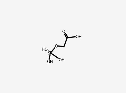 O=C(O)CO[Si](O)(O)O